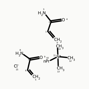 C=CC(N)=O.C=CC(N)=O.CCC[N+](C)(C)C.[Cl-]